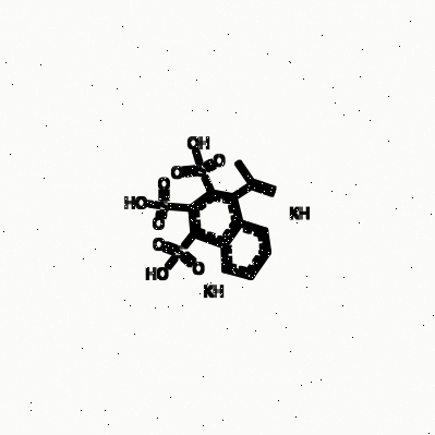 C=C(C)c1c(S(=O)(=O)O)c(S(=O)(=O)O)c(S(=O)(=O)O)c2ccccc12.[KH].[KH]